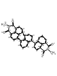 CN1C(=O)c2cccc3c(-c4ccc5c6ccc7c8c(ccc(c9cccc4c95)c86)C(=O)N(C)C7=O)ccc(c23)C1=O